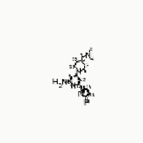 CN(C)CC1CCN(c2cc(N)nc(-n3ccc(F)n3)c2)CC1